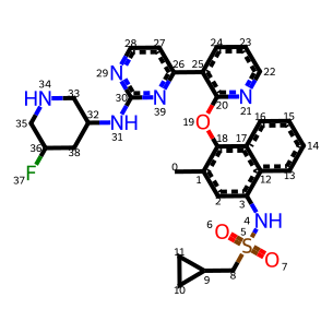 Cc1cc(NS(=O)(=O)CC2CC2)c2ccccc2c1Oc1ncccc1-c1ccnc(NC2CNCC(F)C2)n1